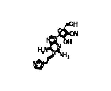 NC1=Nc2c(ncn2[C@@H]2O[C@H](CO)C(O)C2O)C(N)N1CCCn1ccnc1